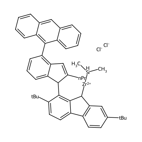 CCCC1=Cc2c(-c3c4ccccc4cc4ccccc34)cccc2C1c1c(C(C)(C)C)ccc2c1[CH]([Zr+2][SiH](C)C)c1cc(C(C)(C)C)ccc1-2.[Cl-].[Cl-]